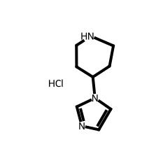 Cl.c1cn(C2CCNCC2)cn1